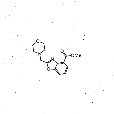 COC(=O)c1cccc2oc(CN3CCOCC3)nc12